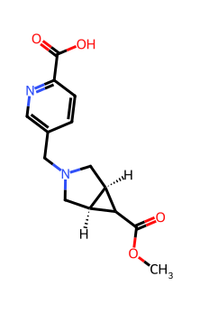 COC(=O)C1[C@H]2CN(Cc3ccc(C(=O)O)nc3)C[C@@H]12